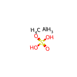 C.O=S(=O)(O)O.[AlH3]